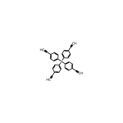 C#Cc1ccc([Si](c2ccc(C#C)cc2)(c2ccc(C#C)cc2)c2ccc(C#C)cc2)cc1